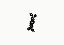 Cc1ccc(N(c2ccccc2)c2ccc3c(c2)OC2=CC=C4c5ccc(N(c6ccccc6)c6ccc(C)cc6)cc5OC5=CC=C3C2C54)cc1